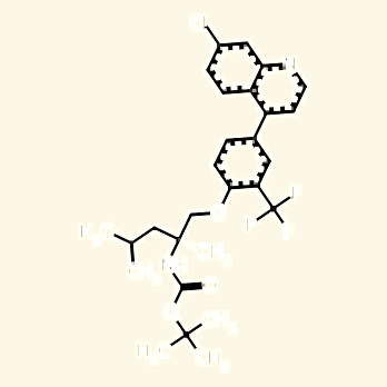 CC(C)C[C@@](C)(COc1ccc(-c2ccnc3cc(Cl)ccc23)cc1C(F)(F)F)NC(=O)OC(C)(C)C